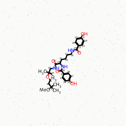 COC(C)(C)CCOC(C)(C)CNC(=O)C(CCCCNC(=O)c1ccc(O)cc1)NC(=O)c1ccc(O)cc1